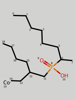 CCCCCCC(C)P(=O)(O)CC(CC)CCCC.[Co]